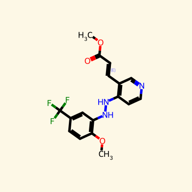 COC(=O)/C=C/c1cnccc1NNc1cc(C(F)(F)F)ccc1OC